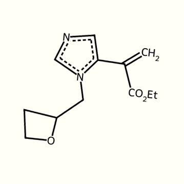 C=C(C(=O)OCC)c1cncn1CC1CCO1